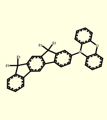 CCC1(CC)c2ccccc2-c2cc3c(cc21)C(CC)(CC)c1cc(N2c4ccccc4Oc4ccccc42)ccc1-3